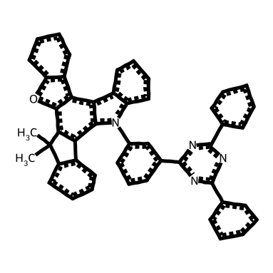 CC1(C)c2ccccc2-c2c1c1oc3ccccc3c1c1c3ccccc3n(-c3cccc(-c4nc(-c5ccccc5)nc(-c5ccccc5)n4)c3)c21